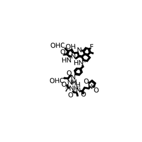 Cc1c(F)cc2nc3c(c4c2c1CC[C@@H]4NCc1ccc(NC(=O)C(CC=O)NC(=O)[C@H](C)NC(=O)C(C)NC(=O)CCN2C(=O)C=CC2=O)cc1)Cn1c-3cc2c(c1=N)COC2(O)C=O